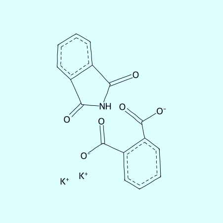 O=C([O-])c1ccccc1C(=O)[O-].O=C1NC(=O)c2ccccc21.[K+].[K+]